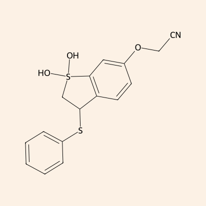 N#CCOc1ccc2c(c1)S(O)(O)CC2Sc1ccccc1